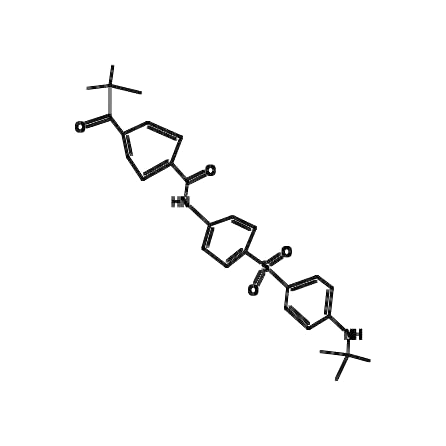 CC(C)(C)Nc1ccc(S(=O)(=O)c2ccc(NC(=O)c3ccc(C(=O)C(C)(C)C)cc3)cc2)cc1